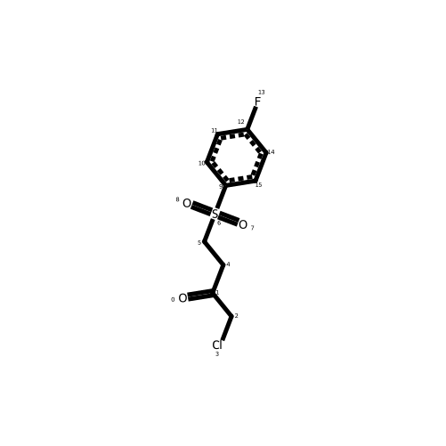 O=C(CCl)CCS(=O)(=O)c1ccc(F)cc1